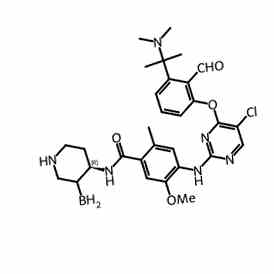 BC1CNCC[C@H]1NC(=O)c1cc(OC)c(Nc2ncc(Cl)c(Oc3cccc(C(C)(C)N(C)C)c3C=O)n2)cc1C